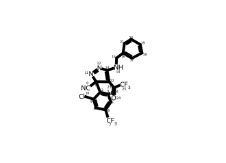 N#CC1(c2c(Cl)cc(C(F)(F)F)cc2Cl)N=NC(NCc2ccccc2)=C1C(=O)C(F)(F)F